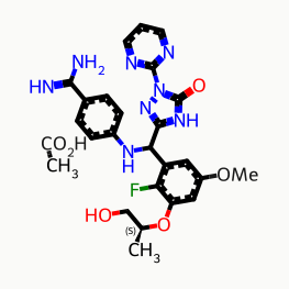 CC(=O)O.COc1cc(O[C@@H](C)CO)c(F)c(C(Nc2ccc(C(=N)N)cc2)c2nn(-c3ncccn3)c(=O)[nH]2)c1